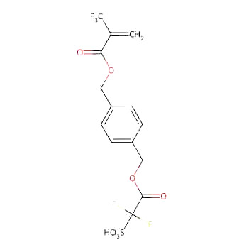 C=C(C(=O)OCc1ccc(COC(=O)C(F)(F)S(=O)(=O)O)cc1)C(F)(F)F